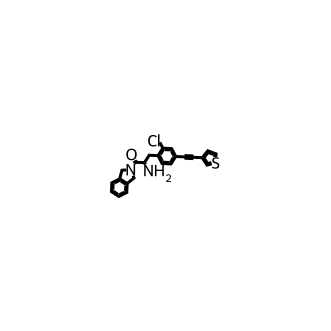 NC(Cc1ccc(C#Cc2ccsc2)cc1Cl)C(=O)N1Cc2ccccc2C1